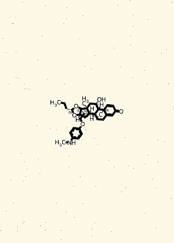 CCC[C@H]1O[C@@H]2C[C@H]3[C@@H]4CCC5=CC(=O)C=C[C@]5(C)[C@H]4[C@@H](O)C[C@]3(C)[C@]2(C(=O)COc2ccc(NC)cc2)O1